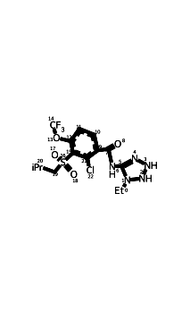 CCN1NNN=C1NC(=O)c1ccc(OC(F)(F)F)c(S(=O)(=O)CC(C)C)c1Cl